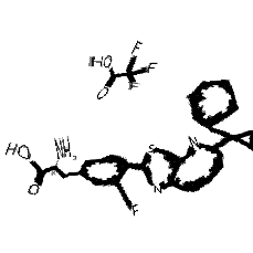 N[C@H](Cc1ccc(-c2nc3ccc(C4(c5ccccc5)CC4)nc3s2)c(F)c1)C(=O)O.O=C(O)C(F)(F)F